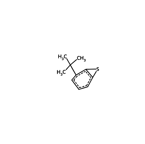 CC(C)(C)c1cccc2c1S2